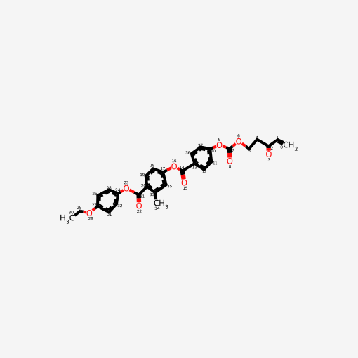 C=CC(=O)CCOC(=O)Oc1ccc(C(=O)Oc2ccc(C(=O)Oc3ccc(OCC)cc3)c(C)c2)cc1